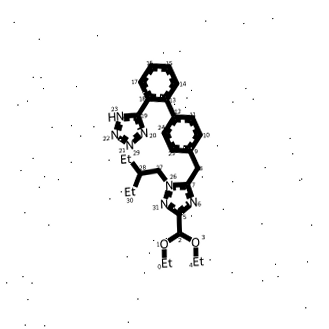 CCOC(OCC)c1nc(Cc2ccc(-c3ccccc3-c3nnn[nH]3)cc2)n(CC(CC)CC)n1